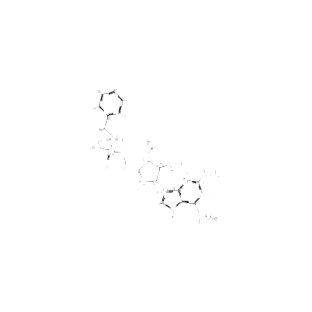 COc1nc(C)nc2c1ncn2[C@@H]1O[C@H](COP(=O)(O)NCc2ccccc2)[C@H](O)C1O